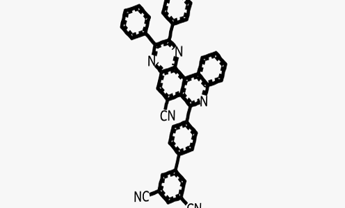 N#Cc1cc(C#N)cc(-c2ccc(-c3nc4ccccc4c4c3c(C#N)cc3nc(-c5ccccc5)c(-c5ccccc5)nc34)cc2)c1